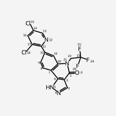 O=c1c2cn[nH]c2c2ccc(-c3ncc(Cl)cc3Cl)cc2n1CC(F)(F)F